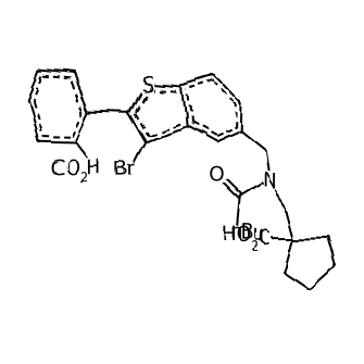 CCCCC(=O)N(Cc1ccc2sc(-c3ccccc3C(=O)O)c(Br)c2c1)CC1(C(=O)O)CCCC1